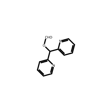 O=[C]OC(c1ccccn1)c1ccccn1